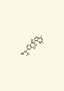 C=N/C=C(\OC)c1ccc(NC(=O)c2ccn3c(C)cc(C)nc23)c(OC)c1